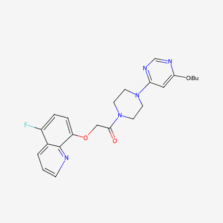 CC(C)COc1cc(N2CCN(C(=O)COc3ccc(F)c4cccnc34)CC2)ncn1